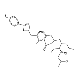 CCCC(CC1CC(=O)c2c(ccc(CC3=CC(c4ccc(CC)cc4)=CC3)c2C)C1)C(CC)C(=O)CC(C)=O